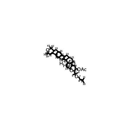 CC(=O)OC1C(C(C)(C)OCC=C(C)C)OC2CC[C@@]3(C)C(O)(CCC4Cc5c([nH]c6cc7c(cc56)CC5C7=CC(C)(C)OC5(C)C)[C@@]43C)C23OC13